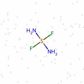 NS(N)(F)F